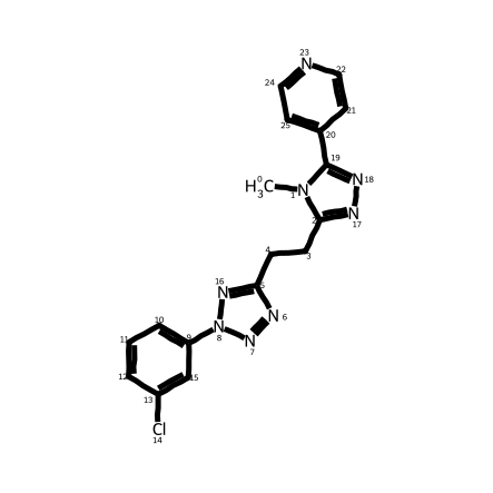 Cn1c(CCc2nnn(-c3cccc(Cl)c3)n2)nnc1-c1ccncc1